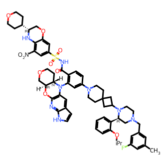 Cc1cc(F)cc(CN2CCN(C3CC4(CCN(c5ccc(C(=O)NS(=O)(=O)c6cc7c(c([N+](=O)[O-])c6)N[C@H](C6CCOCC6)CO7)c(N6c7cc8cc[nH]c8nc7O[C@H]7COCC[C@@H]76)c5)CC4)C3)[C@H](c3ccccc3OC(C)C)C2)c1